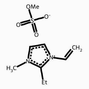 C=C[n+]1ccn(C)c1CC.COS(=O)(=O)[O-]